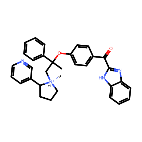 CC(C[N@@+]1(C)CCCC1c1cccnc1)(Oc1ccc(C(=O)c2nc3ccccc3[nH]2)cc1)c1ccccc1